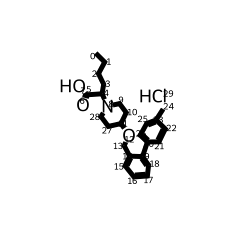 CCCCC(C(=O)O)N1CCC(OCc2ccccc2-c2ccc(C)cc2)CC1.Cl